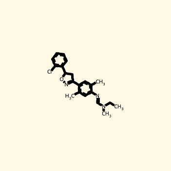 CCN(C)C=Nc1cc(C)c(C2=NOC(c3ccccc3Cl)C2)cc1C